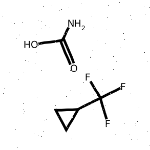 FC(F)(F)C1CC1.NC(=O)O